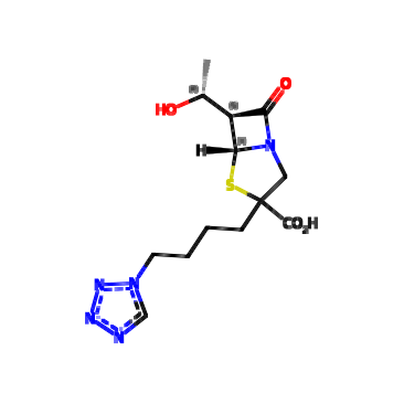 C[C@@H](O)[C@H]1C(=O)N2CC(CCCCn3cnnn3)(C(=O)O)S[C@H]12